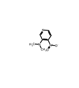 CN(C)c1cnccc1[N+](=O)[O-]